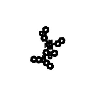 c1ccc2cc(-c3nc(-c4ccc5oc6ccccc6c5c4)nc(-c4ccc(-n5c6cc7ccccc7cc6c6cc7ccccc7cc65)c5oc6ccccc6c45)n3)ccc2c1